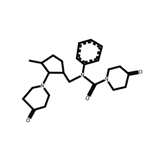 CC1CCC(CN(C(=O)N2CCC(=O)CC2)c2ccccc2)C1N1CCC(=O)CC1